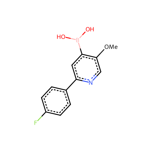 COc1cnc(-c2ccc(F)cc2)cc1B(O)O